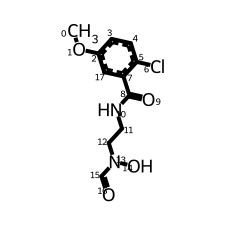 COc1ccc(Cl)c(C(=O)NCCN(O)C=O)c1